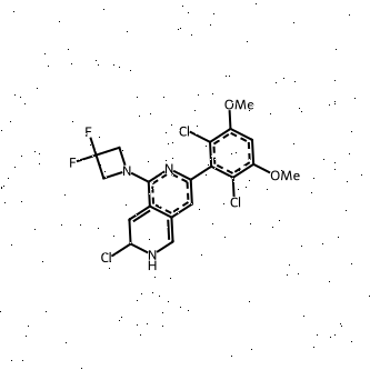 COc1cc(OC)c(Cl)c(-c2cc3c(c(N4CC(F)(F)C4)n2)=CC(Cl)NC=3)c1Cl